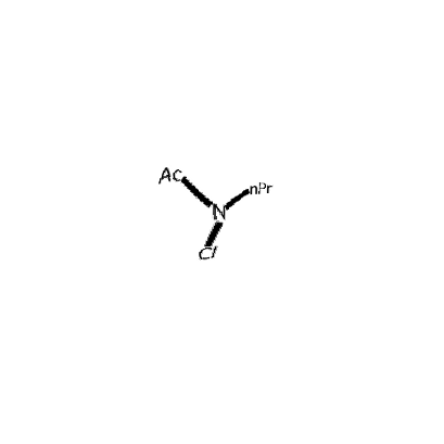 [CH2]CCN(Cl)C(C)=O